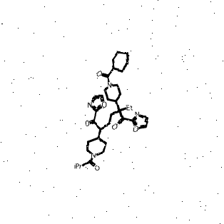 CCC(CCC(C(=O)c1ncco1)C1CCN(C(=O)C(C)C)CC1)(C(=O)c1ncco1)C1CCN(C(=O)C2CCCCC2)CC1